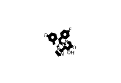 Cc1cc(F)ccc1[C@H](c1ccc(F)cc1)[C@H]1Cn2ccnc2-c2c(O)c(=O)cnn21